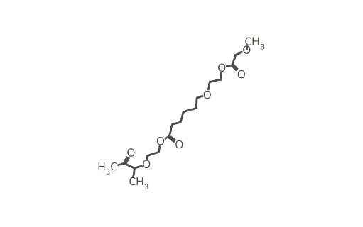 COCC(=O)OCCOCCCCCC(=O)OCCOC(C)C(C)=O